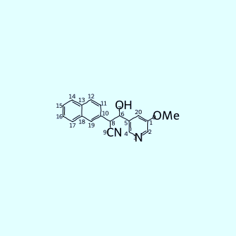 COc1cncc(C(O)C(C#N)c2ccc3ccccc3c2)c1